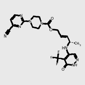 C[C@@H](/C=C/COC(=O)N1CCN(c2nccc(C#N)n2)CC1)Nc1cn[nH]c(=O)c1C(F)(F)F